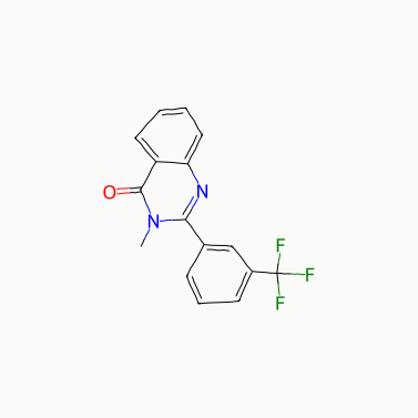 Cn1c(-c2cccc(C(F)(F)F)c2)nc2ccccc2c1=O